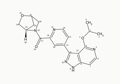 CC(C)Oc1nccc2[nH]nc(-c3ccnc(C(=O)N4CC5C[C@H]4CO5)c3)c12